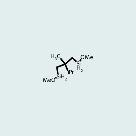 CO[SiH2]CC(C)(C[SiH2]OC)C(C)C